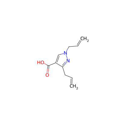 C=CCc1nn(CC=C)cc1C(=O)O